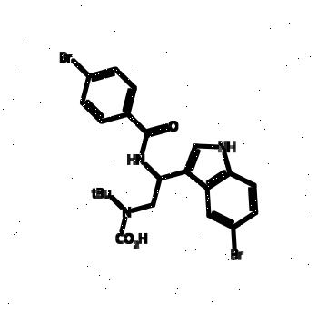 CC(C)(C)N(CC(NC(=O)c1ccc(Br)cc1)c1c[nH]c2ccc(Br)cc12)C(=O)O